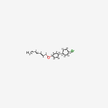 C/C=C/C=C/COc1ccc(-c2ccc(Br)cc2)cc1